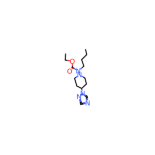 CCCCN(C(=O)OCC)N1CCC(n2cncn2)CC1